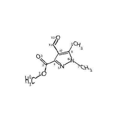 COC(=O)c1nn(C)c(C)c1C=O